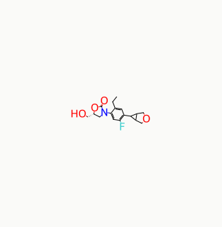 CCc1cc(C2C3COCC32)c(F)cc1N1C[C@H](CO)OC1=O